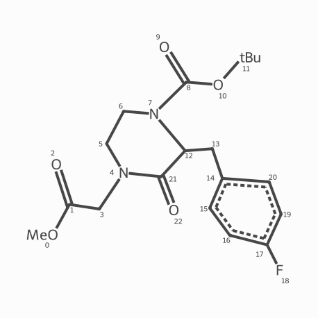 COC(=O)CN1CCN(C(=O)OC(C)(C)C)C(Cc2ccc(F)cc2)C1=O